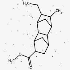 CCC1C(C)C2CC1C1C3CC(CC3C(=O)OC)C21